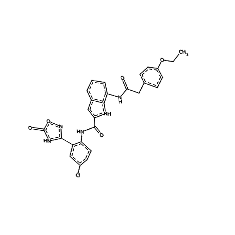 CCOc1ccc(CC(=O)Nc2cccc3cc(C(=O)Nc4ccc(Cl)cc4-c4noc(=O)[nH]4)[nH]c23)cc1